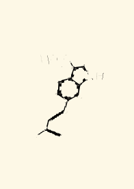 C=C(C)/C=C/c1ccc2c(C(=O)O)c[nH]c2c1